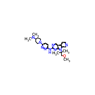 COCC(C)(C)n1c2cnccc2c2cnc(Nc3ccc(N4CCC(N(C)C)CC4)nn3)nc21